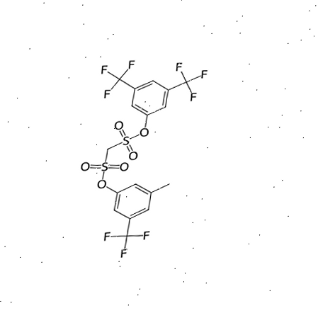 Cc1cc(OS(=O)(=O)CS(=O)(=O)Oc2cc(C(F)(F)F)cc(C(F)(F)F)c2)cc(C(F)(F)F)c1